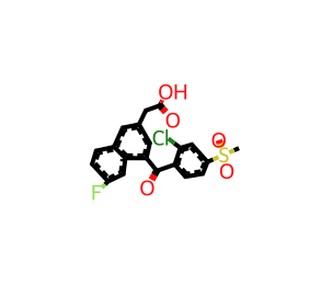 CS(=O)(=O)c1ccc(C(=O)c2cc(CC(=O)O)cc3ccc(F)cc23)c(Cl)c1